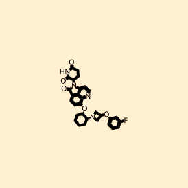 O=C1CCC(N2C(=O)c3ccc(O[C@H]4CCCC[C@@H]4N4CC(Oc5cccc(F)c5)C4)c4nccc2c34)C(=O)N1